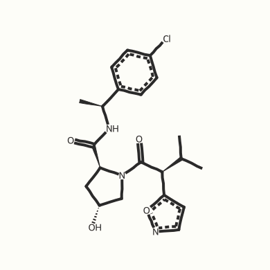 CC(C)[C@H](C(=O)N1C[C@H](O)C[C@H]1C(=O)N[C@@H](C)c1ccc(Cl)cc1)c1ccno1